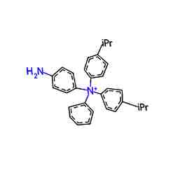 CC(C)c1ccc([N+](c2ccccc2)(c2ccc(N)cc2)c2ccc(C(C)C)cc2)cc1